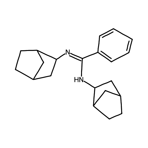 c1ccc(C(=NC2CC3CCC2C3)NC2CC3CCC2C3)cc1